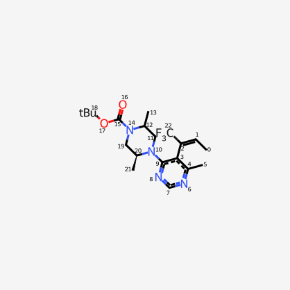 C/C=C(\c1c(C)ncnc1N1CC(C)N(C(=O)OC(C)(C)C)C[C@@H]1C)C(F)(F)F